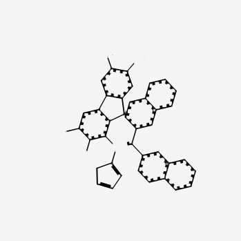 Cc1cc2c(cc1C(C)(C)C)-c1cc(C(C)(C)C)c(C)[c]([Zr+2]([C]3=CC=CC3)=[C](c3ccc4ccccc4c3)c3ccc4ccccc4c3)c1C2.[Cl-].[Cl-]